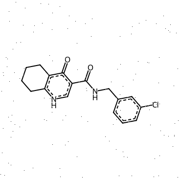 O=C(NCc1cccc(Cl)c1)c1c[nH]c2c(c1=O)CCCC2